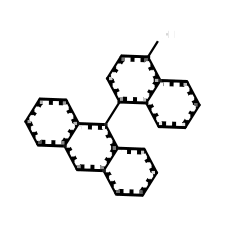 Oc1ccc(-c2c3ccccc3cc3ccccc23)c2ccccc12